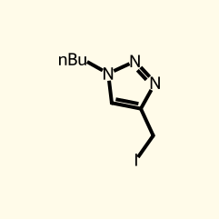 CCCCn1cc(CI)nn1